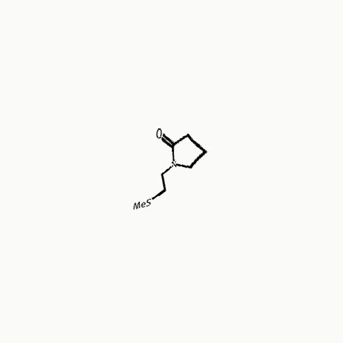 CSCCN1CCCC1=O